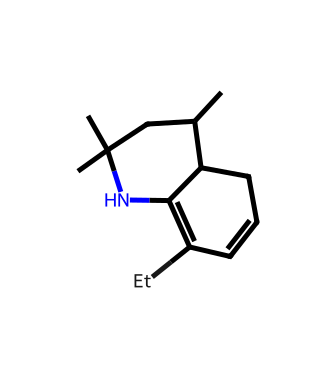 CCC1=C2NC(C)(C)CC(C)C2CC=C1